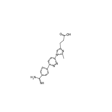 Cc1nc(CCC(=O)O)cn1-c1ccc(-c2ccc(C(=N)N)cc2)nn1